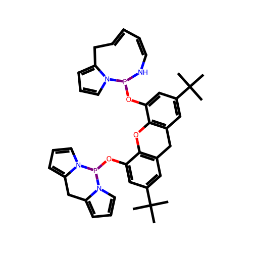 CC(C)(C)c1cc2c(c(OP3N/C=C\C=C\Cc4cccn43)c1)Oc1c(cc(C(C)(C)C)cc1OP1n3cccc3Cc3cccn31)C2